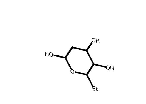 CCC1OC(O)CC(O)C1O